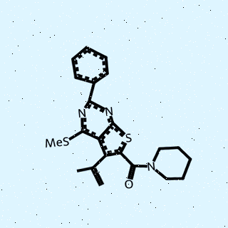 C=C(C)c1c(C(=O)N2CCCCC2)sc2nc(-c3ccccc3)nc(SC)c12